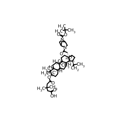 C=C(C)[C@@H]1CC[C@]2(CC(=O)N3CC4CC3CN4C(=O)OC(C)(C)C)CC[C@]3(C)[C@H](CC[C@@H]4[C@@]5(C)CC[C@H](OC(=O)CC(C)(C)CC(=O)O)C(C)(C)[C@@H]5CC[C@]43C)[C@@H]12